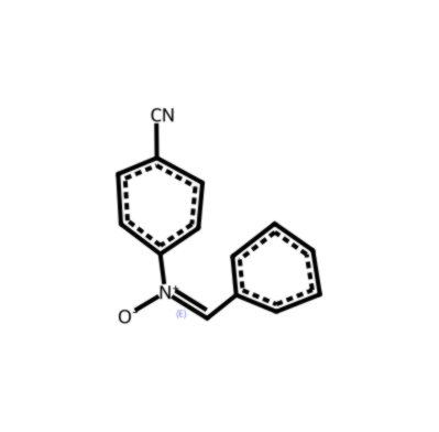 N#Cc1ccc(/[N+]([O-])=C\c2ccccc2)cc1